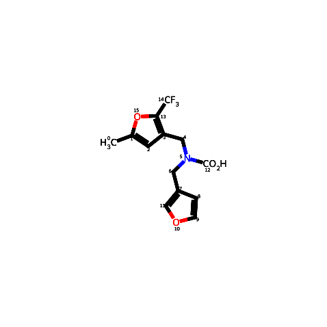 Cc1cc(CN(Cc2ccoc2)C(=O)O)c(C(F)(F)F)o1